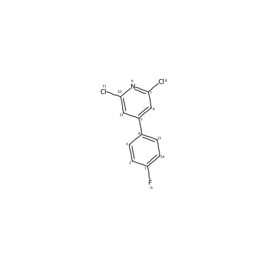 Fc1ccc(-c2cc(Cl)nc(Cl)c2)cc1